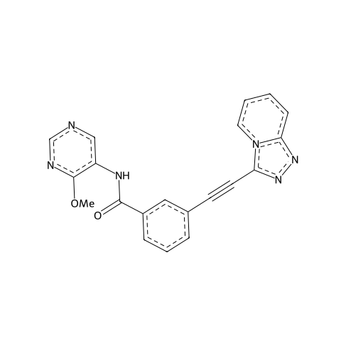 COc1ncncc1NC(=O)c1cccc(C#Cc2nnc3ccccn23)c1